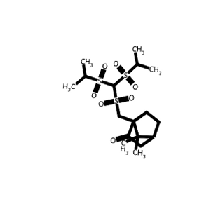 CC(C)S(=O)(=O)C(S(=O)(=O)CC12CCC(CC1=O)C2(C)C)S(=O)(=O)C(C)C